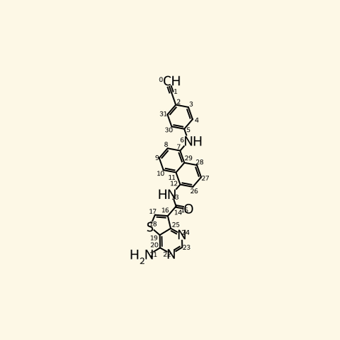 C#Cc1ccc(Nc2cccc3c(NC(=O)c4csc5c(N)ncnc45)cccc23)cc1